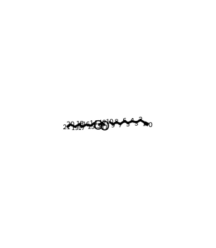 C#CCCCCCCCCCOCOCCCCCCCC